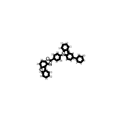 c1ccc(-c2ccc3c(c2)c2ccccc2n3-c2ccc(-c3nc4c(ccc5sc6ccccc6c54)o3)cc2)cc1